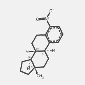 C[C@@]12CCC[C@H]1[C@@H]1CCc3c(cccc3[N+](=O)[O-])[C@H]1CC2